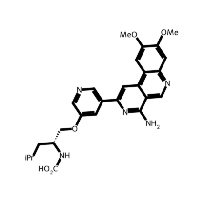 COc1cc2ncc3c(N)nc(-c4cncc(OC[C@@H](CC(C)C)NC(=O)O)c4)cc3c2cc1OC